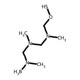 BN(C)CN(C)CN(C)COS